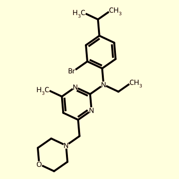 CCN(c1nc(C)cc(CN2CCOCC2)n1)c1ccc(C(C)C)cc1Br